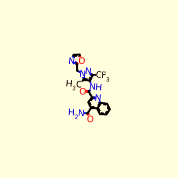 Cc1c(NC(=O)c2cc(C(N)=O)c3ccccc3n2)c(C(F)(F)F)nn1Cc1ncco1